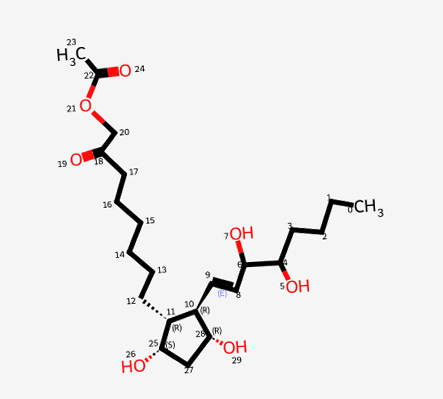 CCCCC(O)C(O)/C=C/[C@@H]1[C@@H](CCCCCCC(=O)COC(C)=O)[C@@H](O)C[C@H]1O